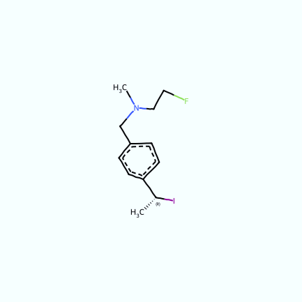 C[C@@H](I)c1ccc(CN(C)CCF)cc1